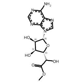 COC(=O)C(O)[C@H]1O[C@@H](n2cnc3c(N)ncnc32)[C@H](O)[C@@H]1O